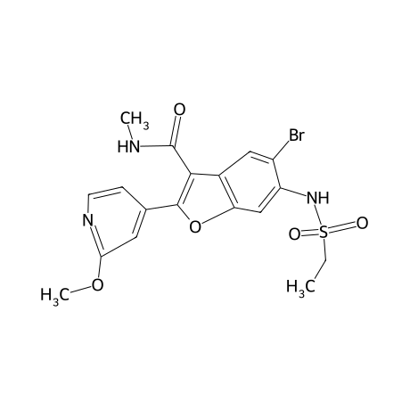 CCS(=O)(=O)Nc1cc2oc(-c3ccnc(OC)c3)c(C(=O)NC)c2cc1Br